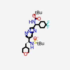 CC(C)(C)OC(=O)N[C@H](c1cn2ncc([C@@H](CC3CCOCC3)N[S@@+]([O-])C(C)(C)C)cc2n1)C1CCC(F)(F)CC1